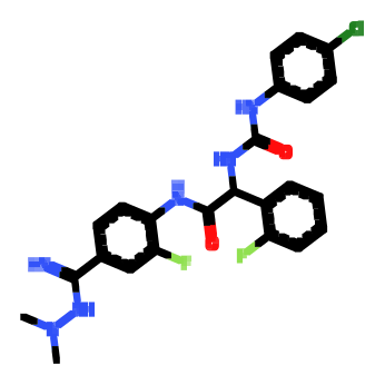 CN(C)NC(=N)c1ccc(NC(=O)C(NC(=O)Nc2ccc(Cl)cc2)c2ccccc2F)c(F)c1